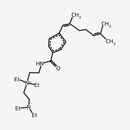 CCN(CC)CC[N+](CC)(CC)CCNC(=O)c1ccc(C=C(C)CCC=C(C)C)cc1